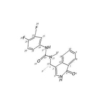 C[C@@H](c1c[nH]c(=O)c2ccccc12)N(C)C(=O)Nc1ccc(F)c(F)c1